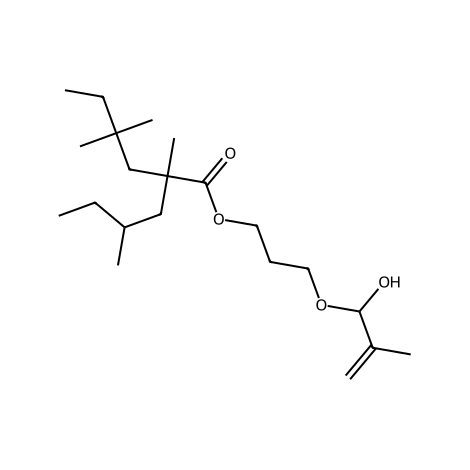 C=C(C)C(O)OCCCOC(=O)C(C)(CC(C)CC)CC(C)(C)CC